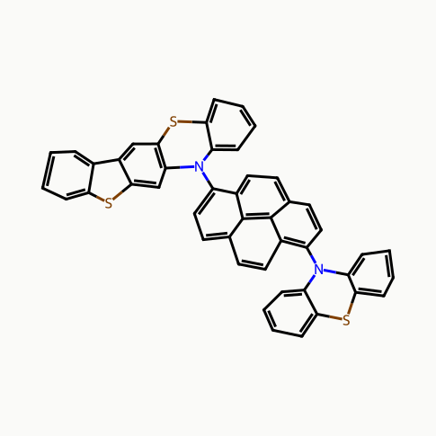 c1ccc2c(c1)Sc1ccccc1N2c1ccc2ccc3c(N4c5ccccc5Sc5cc6c(cc54)sc4ccccc46)ccc4ccc1c2c43